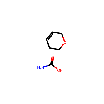 C1=CCOCC1.NC(=O)O